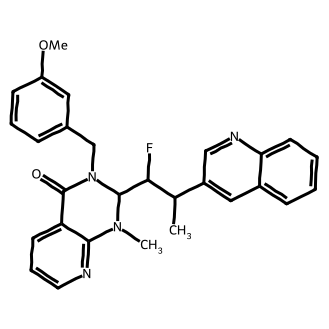 COc1cccc(CN2C(=O)c3cccnc3N(C)C2C(F)C(C)c2cnc3ccccc3c2)c1